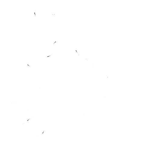 CO[C@@H]1C[C@H](C[C@@H](C)[C@@H]2CC(=O)[C@H](C)/C=C(\C)[C@@H](O)[C@@H](OC)C(=O)[C@H](C)C[C@H](C)/C=C/C=C/C=C(\C)C(OCC(CO)CO)C[C@@H]3CC[C@@H](C)[C@@](O)(O3)C(=O)C(=O)N3CCCC[C@H]3C(=O)O2)CC[C@H]1O